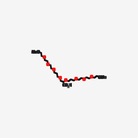 COCCOCCOCCOCCCOCC(OCCCOCCOCCOCCOC)C(=O)O